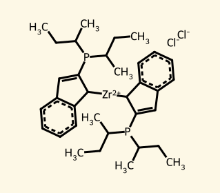 CCC(C)P(C1=Cc2ccccc2[CH]1[Zr+2][CH]1C(P(C(C)CC)C(C)CC)=Cc2ccccc21)C(C)CC.[Cl-].[Cl-]